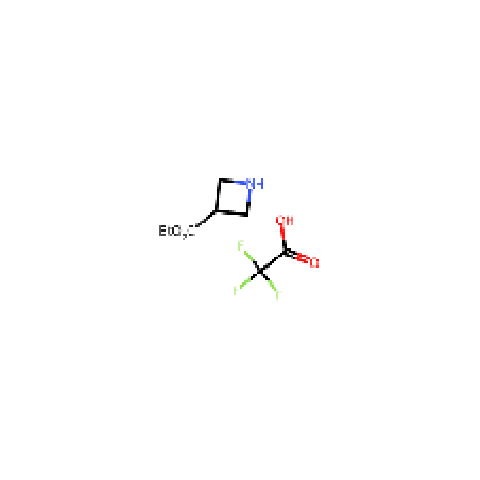 CCOC(=O)C1CNC1.O=C(O)C(F)(F)F